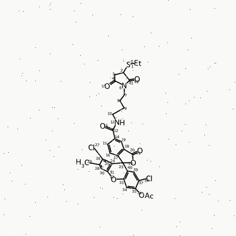 CCSC1CC(=O)N(CCCCNC(=O)c2ccc3c(c2)C(=O)OC32c3cc(Cl)c(C)cc3Oc3cc(OC(C)=O)c(Cl)cc32)C1=O